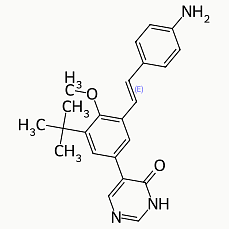 COc1c(/C=C/c2ccc(N)cc2)cc(-c2cnc[nH]c2=O)cc1C(C)(C)C